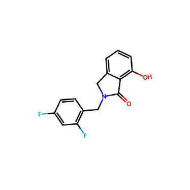 O=C1c2c(O)cccc2CN1Cc1ccc(F)cc1F